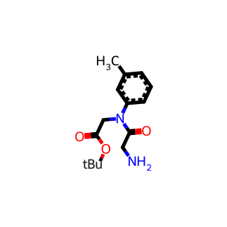 Cc1cccc(N(CC(=O)OC(C)(C)C)C(=O)CN)c1